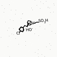 O=S(=O)(O)CCC[N+]12CCC(CC1)C(=CCc1ccc(Cl)cc1)C2.[OH-]